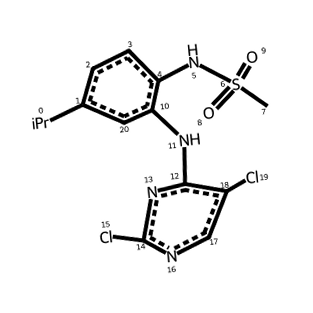 CC(C)c1ccc(NS(C)(=O)=O)c(Nc2nc(Cl)ncc2Cl)c1